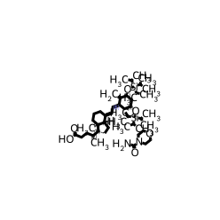 C=C1/C(=C/C=C2CCC[C@]3(C)[C@@H]([C@H](C)CCC(=O)O)CC[C@@H]23)C[C@@H](O[Si](C(C)C)(C(C)C)C(C)C)C[C@@H]1O[Si](C(C)C)(C(C)C)C(C)C.NC(=O)N1CCOCC1